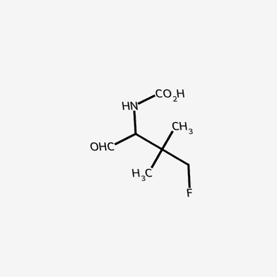 CC(C)(CF)C(C=O)NC(=O)O